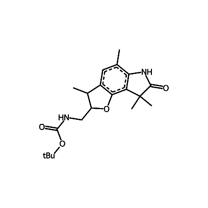 Cc1cc2c(c3c1NC(=O)C3(C)C)OC(CNC(=O)OC(C)(C)C)C2C